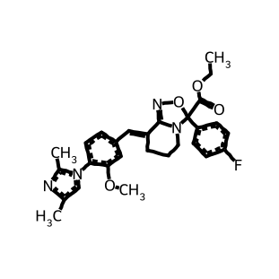 CCOC(=O)C1(c2ccc(F)cc2)ON=C2/C(=C/c3ccc(-n4cc(C)nc4C)c(OC)c3)CCCN21